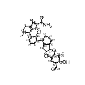 CN1CCc2c(nc(C(N)=O)n2C)C1c1cccc(-c2cccc3c2CCC3Oc2c(Cl)cc(C=O)c(O)c2F)c1Cl